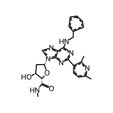 CNC(=O)[C@H]1O[C@@H](n2cnc3c(NCc4ccccc4)nc(-c4ccc(C)nc4C)nc32)C[C@@H]1O